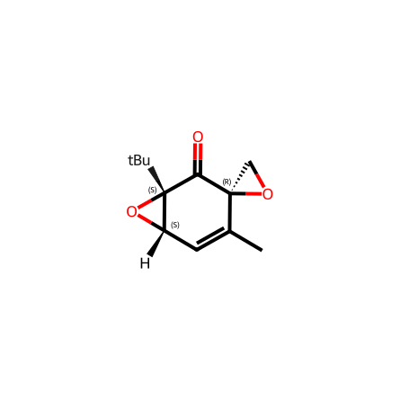 CC1=C[C@@H]2O[C@]2(C(C)(C)C)C(=O)[C@]12CO2